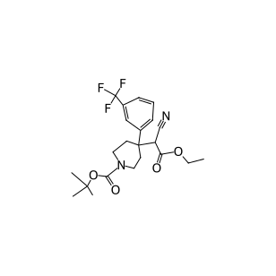 CCOC(=O)C(C#N)C1(c2cccc(C(F)(F)F)c2)CCN(C(=O)OC(C)(C)C)CC1